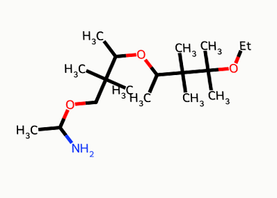 CCOC(C)(C)C(C)(C)C(C)OC(C)C(C)(C)COC(C)N